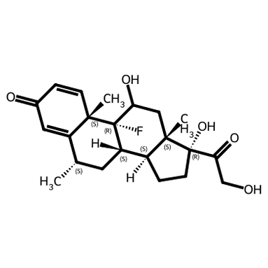 C[C@H]1C[C@H]2[C@@H]3CC[C@](O)(C(=O)CO)[C@@]3(C)CC(O)[C@]2(F)[C@@]2(C)C=CC(=O)C=C12